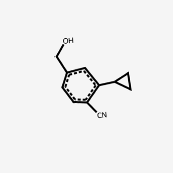 N#Cc1ccc([CH]O)cc1C1CC1